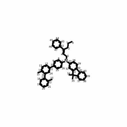 CCC/C(=C\CN(c1ccc(-c2ccc(C)c(-c3ccccc3C)c2)cc1)c1ccc2c(c1)C(C)(C)c1ccccc1-2)c1ccccc1